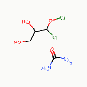 NC(N)=O.OCC(O)C(Cl)OCl